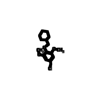 COc1cc(CCl)cc(OC)c1OCC1CCCCC1